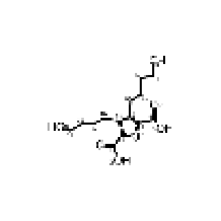 O=C(O)c1oc(C(=O)O)c(CCCCO)c1CCCCO